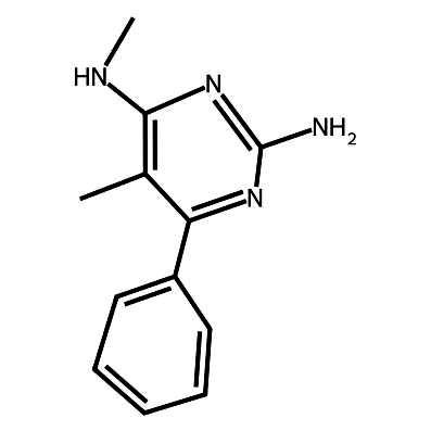 CNc1nc(N)nc(-c2ccccc2)c1C